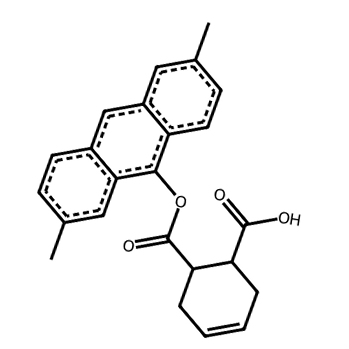 Cc1ccc2c(OC(=O)C3CC=CCC3C(=O)O)c3cc(C)ccc3cc2c1